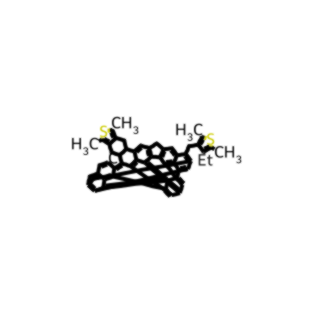 CCc1c(C)sc(C)c1Cc1c2c3c4c(cc5cc6c7c8c9c%10c(cc%11c%12c%13c(cc1c1c%13c%13c(c%10%12)c9c9c7c5c4c9c%13c31)C%11)C1Cc3c(C)sc(C)c3CC81C6)C2